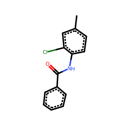 Cc1ccc(NC(=O)c2ccccc2)c(Cl)c1